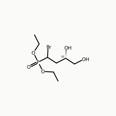 CCOP(=O)(OCC)C(Br)C[C@H](O)CO